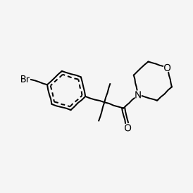 CC(C)(C(=O)N1CCOCC1)c1ccc(Br)cc1